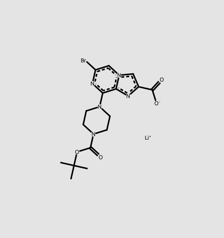 CC(C)(C)OC(=O)N1CCN(c2nc(Br)cn3cc(C(=O)[O-])nc23)CC1.[Li+]